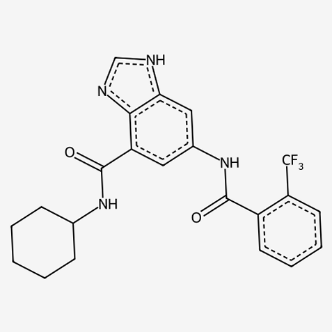 O=C(Nc1cc(C(=O)NC2CCCCC2)c2nc[nH]c2c1)c1ccccc1C(F)(F)F